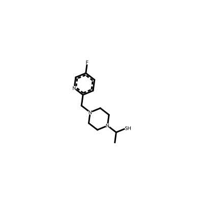 CC(S)N1CCN(Cc2ccc(F)cn2)CC1